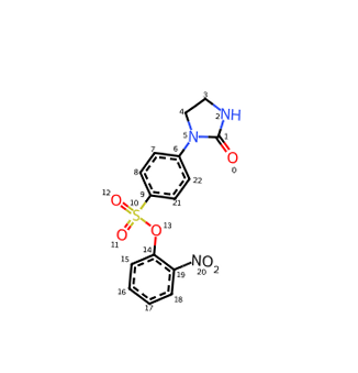 O=C1NCCN1c1ccc(S(=O)(=O)Oc2ccccc2[N+](=O)[O-])cc1